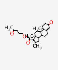 CC(=O)CCCOCC(=O)[C@H]1[C@@H](C)CC2C3CCC4=CC(=O)CC[C@]4(C)C3=CC[C@@]21C